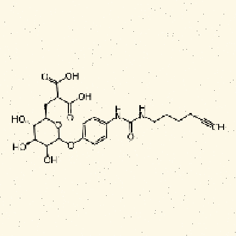 C#CCCCCNC(=O)Nc1ccc(OC2O[C@H](CC(C(=O)O)C(=O)O)[C@@H](O)[C@H](O)[C@@H]2O)cc1